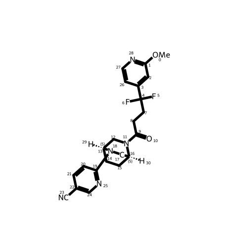 COc1cc(C(F)(F)CCC(=O)N2C[C@@H]3CC[C@H]2CN3c2ccc(C#N)cn2)ccn1